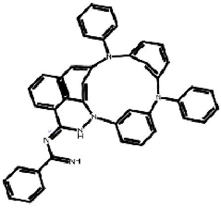 N=C(/N=C(\NN1c2cccc(c2)N(c2ccccc2)c2cccc(c2)N(c2ccccc2)c2cccc1c2)c1ccccc1)c1ccccc1